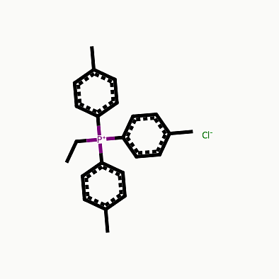 CC[P+](c1ccc(C)cc1)(c1ccc(C)cc1)c1ccc(C)cc1.[Cl-]